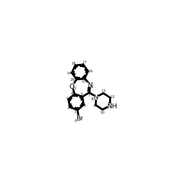 Brc1ccc2c(c1)C(N1CCNCC1)=Nc1ccccc1O2